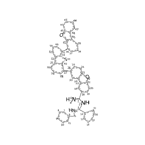 NC(NC(NCc1ccccc1)c1ccccc1)c1ccc2oc3ccc(-c4cccc5c4sc4c(-c6cccc7c6oc6ccccc67)cccc45)cc3c2c1